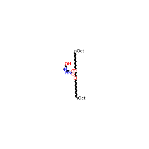 CCCCCCCCC=CCCCCCCCCOCC(COCCCCCCCCC=CCCCCCCCC)OC(=O)NCCN(C)CCO